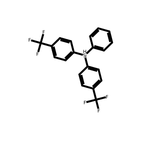 FC(F)(F)c1ccc([SiH](c2ccccc2)c2ccc(C(F)(F)F)cc2)cc1